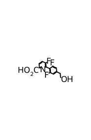 O=C(O)c1ccc(F)c(-c2c(F)cc(CCO)cc2F)n1